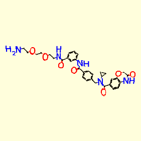 NCCOCCOCCNC(=O)c1cccc(NC(=O)c2ccc(CN(C(=O)c3ccc4c(c3)OCC(=O)N4)C3CC3)cc2)c1